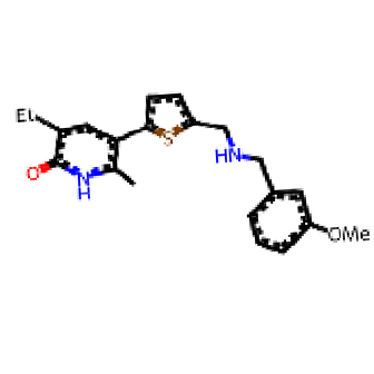 CCc1cc(-c2ccc(CNCc3cccc(OC)c3)s2)c(C)[nH]c1=O